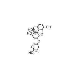 C[C@@H](CC(=O)OC1=CC[C@@]2(O)[C@H]3Cc4ccc(O)c5c4C2(CCN3C)C1O5)C(=O)O